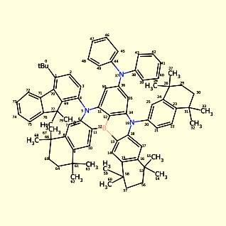 CC(C)(C)c1ccc(N2c3cc4c(cc3B3c5cc6c(cc5N(c5ccc7c(c5)C(C)(C)CCC7(C)C)c5cc(N(c7ccccc7)c7ccccc7)cc2c53)C(C)(C)CCC6(C)C)C(C)(C)CCC4(C)C)c2c1-c1ccccc1C2(C)C